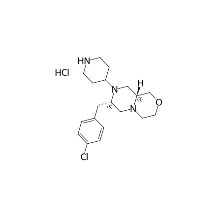 Cl.Clc1ccc(C[C@H]2CN3CCOC[C@H]3CN2C2CCNCC2)cc1